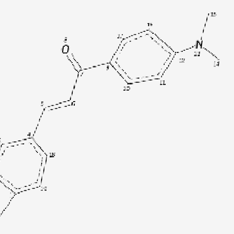 Cc1ccc(C=CC(=O)c2ccc(N(C)C)cc2)cc1